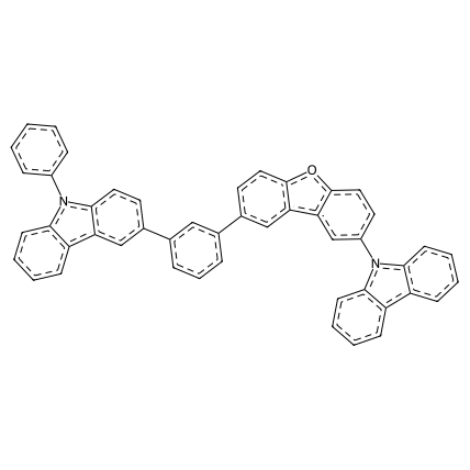 c1ccc(-n2c3ccccc3c3cc(-c4cccc(-c5ccc6oc7ccc(-n8c9ccccc9c9ccccc98)cc7c6c5)c4)ccc32)cc1